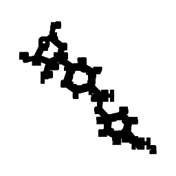 C[C@H]1CN(c2ccc(NCc3ccc(N)cc3)cc2)C(F)[C@@H](C)O1